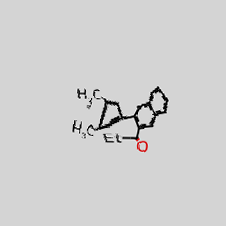 CCC(=O)c1cc2ccccc2cc1C1=CC(C)=C(C)C1